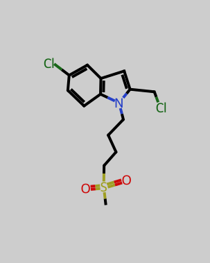 CS(=O)(=O)CCCCn1c(CCl)cc2cc(Cl)ccc21